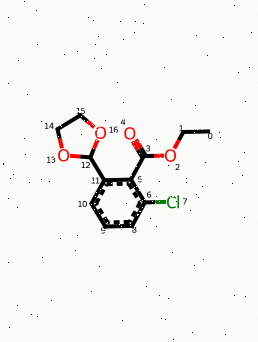 CCOC(=O)c1c(Cl)cccc1C1OCCO1